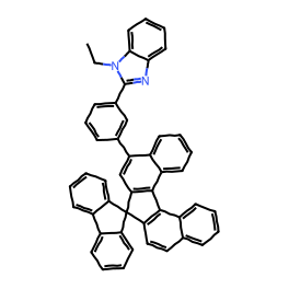 CCn1c(-c2cccc(-c3cc4c(c5ccccc35)-c3c(ccc5ccccc35)C43c4ccccc4-c4ccccc43)c2)nc2ccccc21